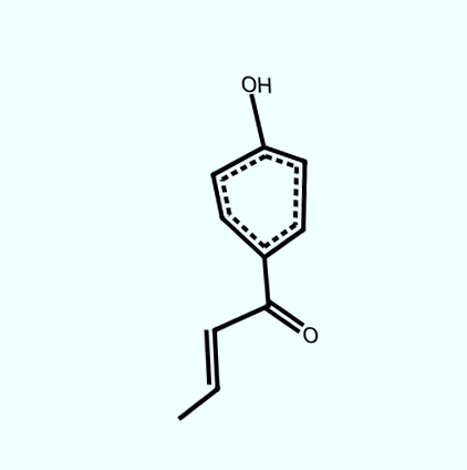 CC=CC(=O)c1ccc(O)cc1